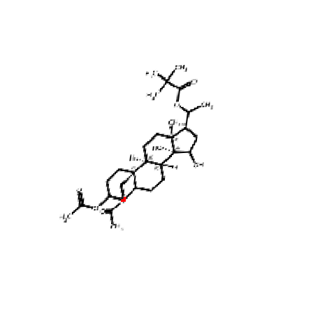 CC(=O)OC[C@]12CCC(OC(C)=O)CC1CC[C@@H]1[C@@H]2CC[C@]2(C)[C@@H](C(C)OC(=O)C(C)(C)C)CC(O)[C@@]12O